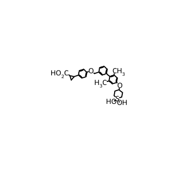 Cc1cc(OC2CCS(O)(O)CC2)cc(C)c1-c1cccc(COc2ccc(C3CC3C(=O)O)cc2)c1